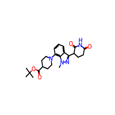 Cn1nc(C2CCC(=O)NC2=O)c2cccc(N3CCC(C(=O)OC(C)(C)C)CC3)c21